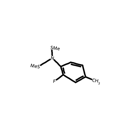 CSN(SC)c1ccc(C)cc1F